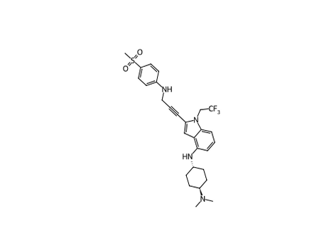 CN(C)[C@H]1CC[C@H](Nc2cccc3c2cc(C#CCNc2ccc(S(C)(=O)=O)cc2)n3CC(F)(F)F)CC1